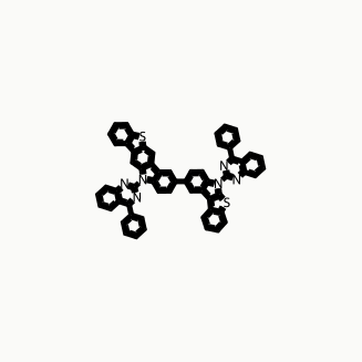 c1ccc(-c2nc(-n3c4ccc(-c5ccc6c(c5)c5c7ccccc7sc5n6-c5nc(-c6ccccc6)c6ccccc6n5)cc4c4cc5sc6ccccc6c5cc43)nc3ccccc23)cc1